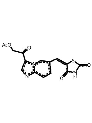 CC(=O)OCC(=O)c1cnc2ccc(C=C3SC(=O)NC3=O)cn12